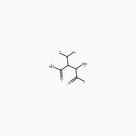 CC(=O)C(O)C(C(=O)O)C(C)C